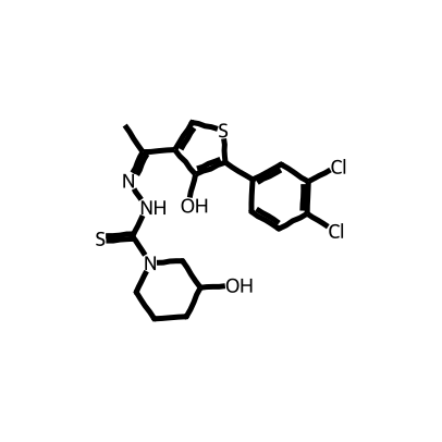 CC(=NNC(=S)N1CCCC(O)C1)c1csc(-c2ccc(Cl)c(Cl)c2)c1O